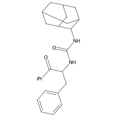 CC(C)C(=O)C(Cc1ccccc1)NC(=O)NC1C2CC3CC(C2)CC1C3